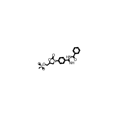 CS(=O)(=O)OCC1CN(c2ccc(C(=N)NC(=O)c3ccccc3)cc2)C(=O)O1